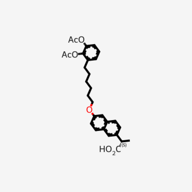 CC(=O)Oc1cccc(CCCCCCOc2ccc3cc([C@H](C)C(=O)O)ccc3c2)c1OC(C)=O